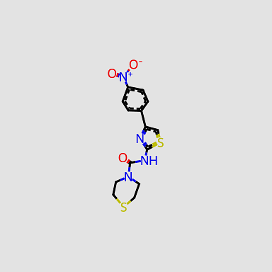 O=C(Nc1nc(-c2ccc([N+](=O)[O-])cc2)cs1)N1CCSCC1